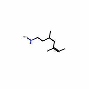 C/C=C(/C)CC(C)CCNC#N